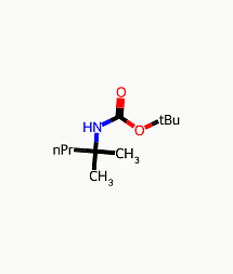 CCCC(C)(C)NC(=O)OC(C)(C)C